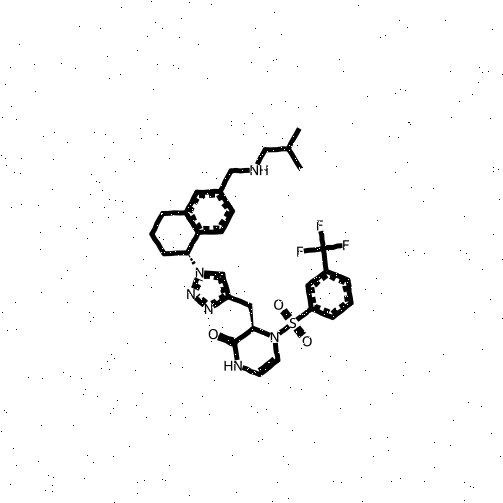 CC(C)CNCc1ccc2c(c1)CCC[C@H]2n1cc(C[C@@H]2C(=O)NC=CN2S(=O)(=O)c2cccc(C(F)(F)F)c2)nn1